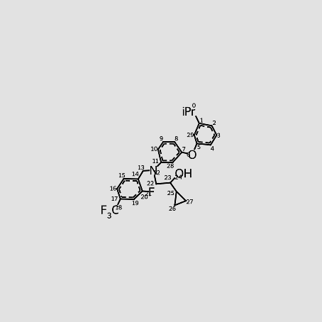 CC(C)c1cccc(Oc2cccc(N(Cc3ccc(C(F)(F)F)cc3F)CC(O)C3CC3)c2)c1